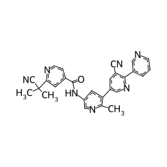 Cc1ncc(NC(=O)c2ccnc(C(C)(C)C#N)c2)cc1-c1cnc(-c2cccnc2)c(C#N)c1